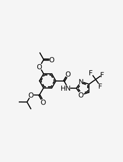 CC(=O)Oc1cc(C(=O)Nc2nc(C(F)(F)F)co2)cc(C(=O)OC(C)C)c1